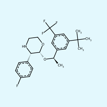 C[C@@H](O[C@H]1OCCN[C@H]1c1ccc(F)cc1)c1cc(C(C)(C)C)cc(C(F)(F)F)c1